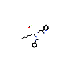 CCC(=O)CCCCC[C@H](NC(=O)Cc1c(C)[nH]c2ccc(C)cc12)c1ncc(-c2ccccc2)[nH]1.O=C(O)C(F)(F)F